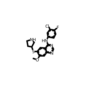 COc1cc2ncnc(Nc3ccc(F)c(Cl)c3)c2cc1SC1CCNC1